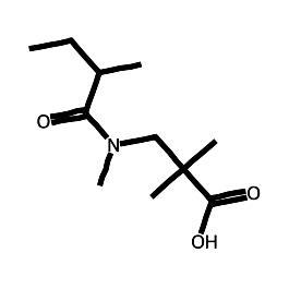 CCC(C)C(=O)N(C)CC(C)(C)C(=O)O